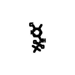 Cc1cc(NS(=O)(=O)C(C)(C)C)cnc1Cl